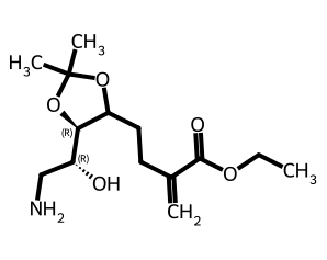 C=C(CCC1OC(C)(C)O[C@@H]1[C@H](O)CN)C(=O)OCC